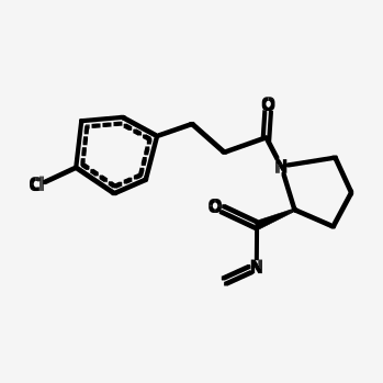 C=NC(=O)[C@@H]1CCCN1C(=O)CCc1ccc(Cl)cc1